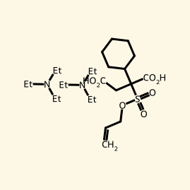 C=CCOS(=O)(=O)C(CC(=O)O)(C(=O)O)C1CCCCC1.CCN(CC)CC.CCN(CC)CC